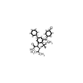 CC(C)CC(C(=O)O)c1cc(-c2ccccc2)cc(N(C)c2ccc(Cl)cc2)c1C(F)(F)F